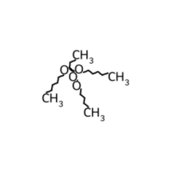 CCCCCCCOC(CCC)=C(OCCCCCCC)OCOCCCCCC